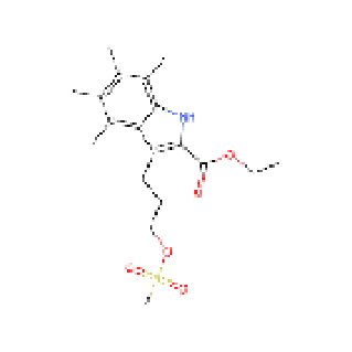 CCOC(=O)c1[nH]c2c(C)c(C)c(C)c(C)c2c1CCCOS(C)(=O)=O